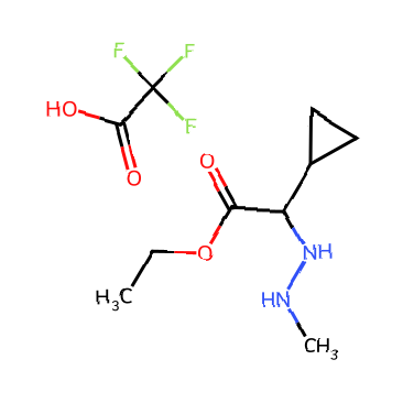 CCOC(=O)C(NNC)C1CC1.O=C(O)C(F)(F)F